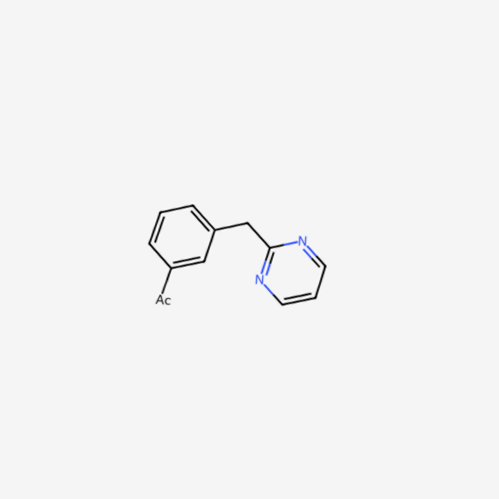 CC(=O)c1cccc(Cc2ncccn2)c1